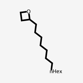 CCCCCCCCCCCCCC1CCO1